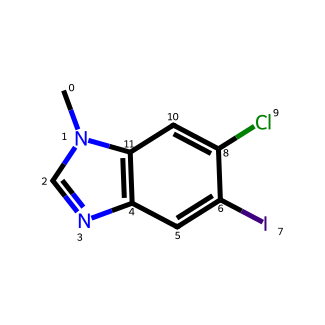 Cn1cnc2cc(I)c(Cl)cc21